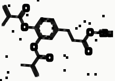 C=C(C)C(=O)Oc1ccc(CCC(=O)OC(C)(C)C)cc1OC(=O)C(=C)C